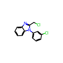 ClCc1nc2ccccc2n1-c1cccc(Cl)c1